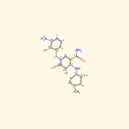 Cc1ccc(Nc2c(C(N)=O)cn(Cc3ccnc(N)c3F)c(=O)c2F)c(F)c1